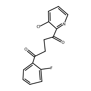 O=C(CCC(=O)c1ncccc1Cl)c1ccccc1F